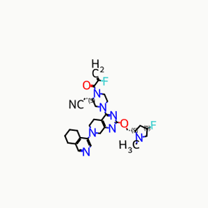 C=C(F)C(=O)N1CCN(c2nc(OC[C@@H]3C[C@@H](F)CN3C)nc3c2CCN(c2cncc4c2CCCC4)C3)C[C@@H]1CC#N